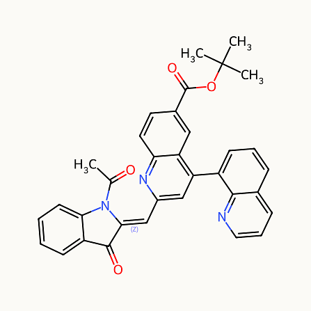 CC(=O)N1/C(=C\c2cc(-c3cccc4cccnc34)c3cc(C(=O)OC(C)(C)C)ccc3n2)C(=O)c2ccccc21